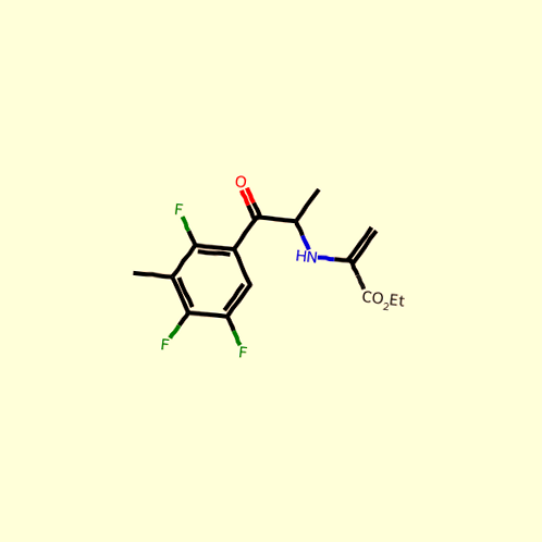 C=C(NC(C)C(=O)c1cc(F)c(F)c(C)c1F)C(=O)OCC